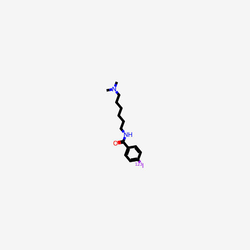 CN(C)CCCCCCNC(=O)c1ccc([123I])cc1